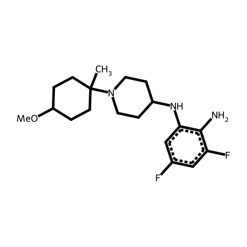 COC1CCC(C)(N2CCC(Nc3cc(F)cc(F)c3N)CC2)CC1